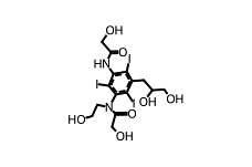 O=C(CO)Nc1c(I)c(CC(O)CO)c(I)c(N(CCO)C(=O)CO)c1I